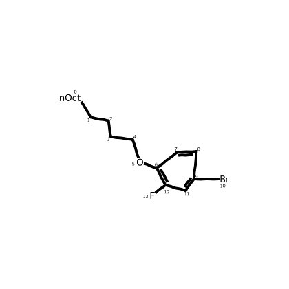 CCCCCCCCCCCCOc1ccc(Br)cc1F